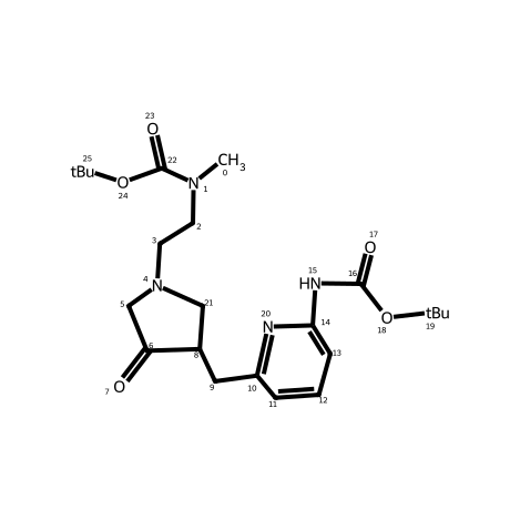 CN(CCN1CC(=O)C(Cc2cccc(NC(=O)OC(C)(C)C)n2)C1)C(=O)OC(C)(C)C